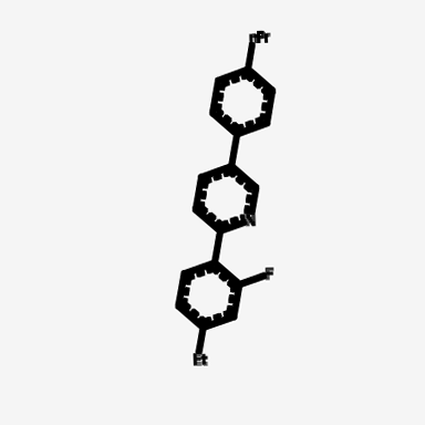 CCCc1ccc(-c2ccc(-c3ccc(CC)cc3F)nc2)cc1